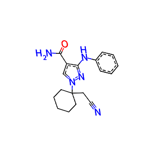 N#CCC1(n2cc(C(N)=O)c(Nc3ccccc3)n2)CCCCC1